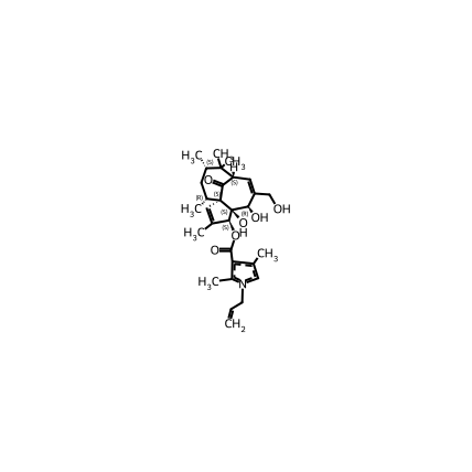 C=CCn1cc(C)c(C(=O)O[C@H]2C(C)=C[C@]34C(=O)[C@@H](C=C(CO)[C@@H](O)[C@]23O)C(C)(C)[C@@H](C)C[C@H]4C)c1C